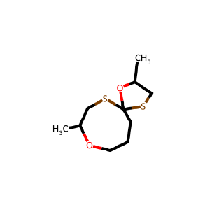 CC1CSC2(CCCO1)OC(C)CS2